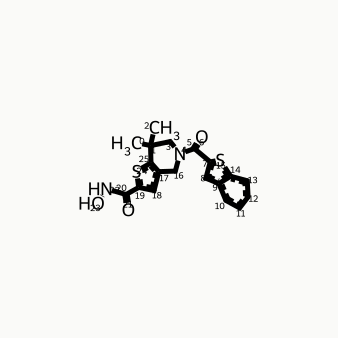 CC1(C)CN(C(=O)c2cc3ccccc3s2)Cc2cc(C(=O)NO)sc21